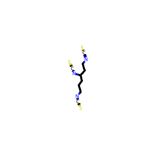 S=C=NCCCC(CCN=C=S)N=C=S